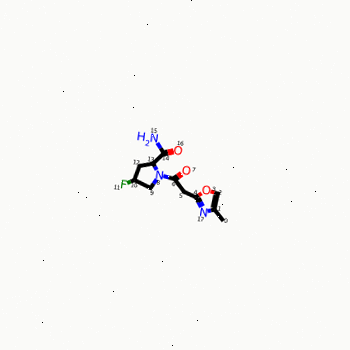 Cc1coc(CC(=O)N2CC(F)CC2C(N)=O)n1